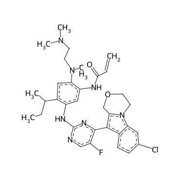 C=CC(=O)Nc1cc(Nc2ncc(F)c(-c3c4n(c5cc(Cl)ccc35)CCOC4)n2)c(C(C)CC)cc1N(C)CCN(C)C